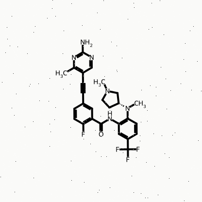 Cc1nc(N)ncc1C#Cc1ccc(F)c(C(=O)Nc2cc(C(F)(F)F)ccc2N(C)[C@@H]2CCN(C)C2)c1